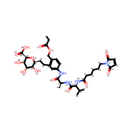 CCC(=O)OCc1ccc(NC(=O)[C@H](C)NC(=O)[C@@H](NC(=O)CCCCCN2C(=O)C=CC2=O)C(C)C)cc1CC[C@@H]1O[C@H](C(=O)O)[C@H](O)[C@H](O)[C@@H]1O